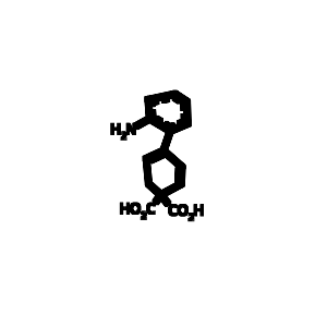 Nc1ccccc1C1=CCC(C(=O)O)(C(=O)O)C=C1